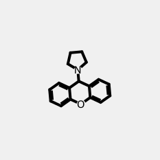 c1ccc2c(c1)Oc1ccccc1C2N1CCCC1